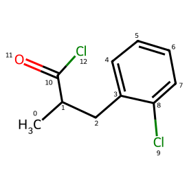 CC(Cc1ccccc1Cl)C(=O)Cl